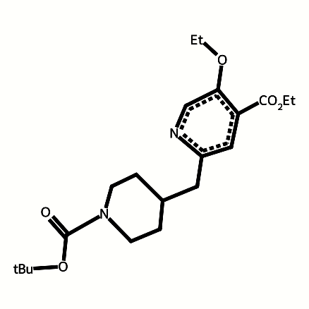 CCOC(=O)c1cc(CC2CCN(C(=O)OC(C)(C)C)CC2)ncc1OCC